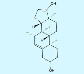 C[C@H]1C=C2C[C@@H](O)C=C[C@]2(C)[C@H]2CC[C@]3(C)C(O)=CC[C@H]3[C@H]12